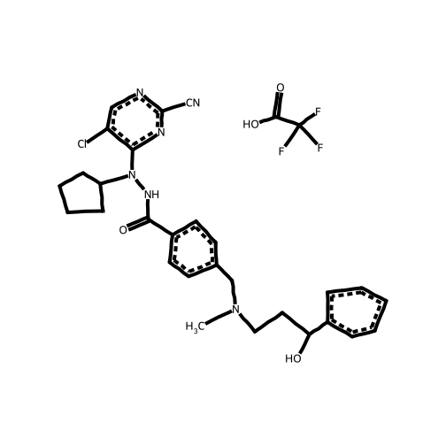 CN(CCC(O)c1ccccc1)Cc1ccc(C(=O)NN(c2nc(C#N)ncc2Cl)C2CCCC2)cc1.O=C(O)C(F)(F)F